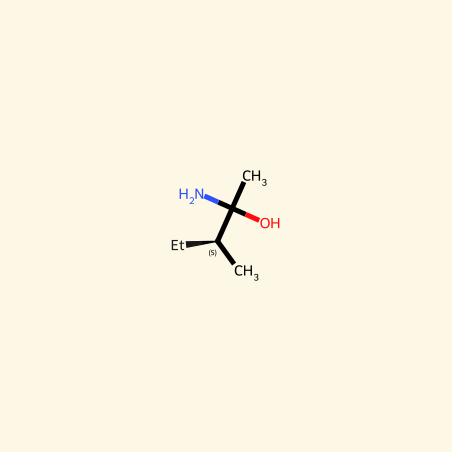 CC[C@H](C)C(C)(N)O